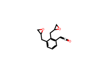 O=C=Cc1cccc(CC2CO2)c1CC1CO1